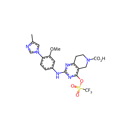 COc1cc(Nc2nc3c(c(OS(=O)(=O)C(F)(F)F)n2)CN(C(=O)O)CC3)ccc1-n1cnc(C)c1